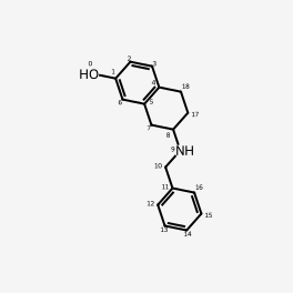 Oc1ccc2c(c1)CC(NCc1ccccc1)CC2